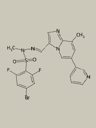 Cc1cc(-c2cccnc2)cn2c(/C=N/N(C)S(=O)(=O)c3c(F)cc(Br)cc3F)cnc12